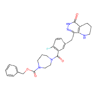 O=C(OCc1ccccc1)N1CCCN(C(=O)c2cc(Cc3n[nH]c(=O)c4c3NCCC4)ccc2F)CC1